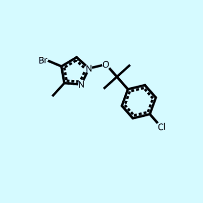 Cc1nn(OC(C)(C)c2ccc(Cl)cc2)cc1Br